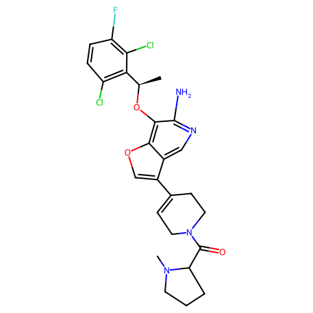 C[C@@H](Oc1c(N)ncc2c(C3=CCN(C(=O)C4CCCN4C)CC3)coc12)c1c(Cl)ccc(F)c1Cl